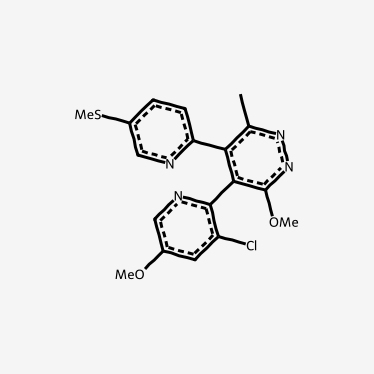 COc1cnc(-c2c(OC)nnc(C)c2-c2ccc(SC)cn2)c(Cl)c1